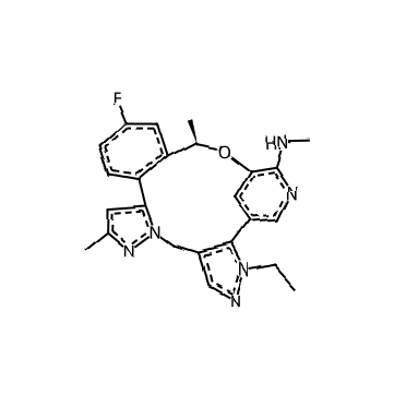 CCn1ncc2c1-c1cnc(NC)c(c1)O[C@H](C)c1cc(F)ccc1-c1cc(C)nn1C2